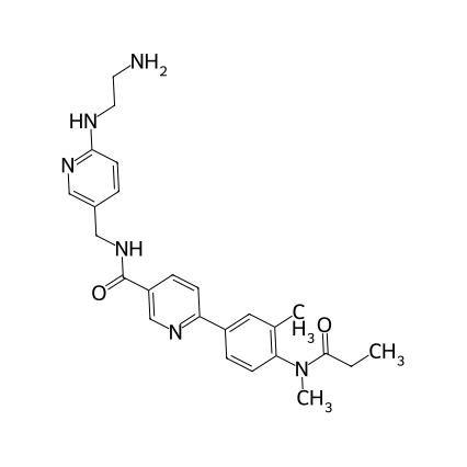 CCC(=O)N(C)c1ccc(-c2ccc(C(=O)NCc3ccc(NCCN)nc3)cn2)cc1C